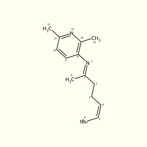 C/C(CC/C=C\C(C)(C)C)=N\c1ccc(C)nc1C